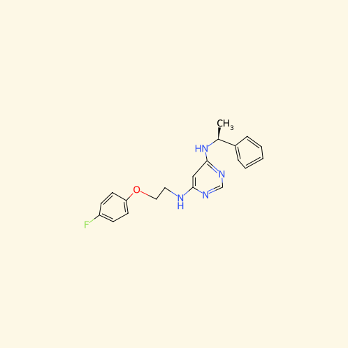 C[C@H](Nc1cc(NCCOc2ccc(F)cc2)ncn1)c1ccccc1